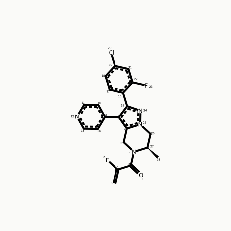 C=C(F)C(=O)N1Cc2c(-c3ccncc3)c(-c3ccc(Cl)cc3F)nn2C[C@H]1C